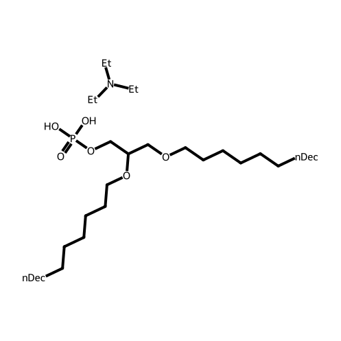 CCCCCCCCCCCCCCCCOCC(COP(=O)(O)O)OCCCCCCCCCCCCCCCC.CCN(CC)CC